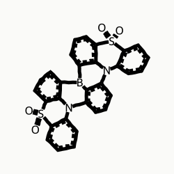 O=S1(=O)c2ccccc2N2c3cccc4c3B(c3cccc1c32)c1cccc2c1N4c1ccccc1S2(=O)=O